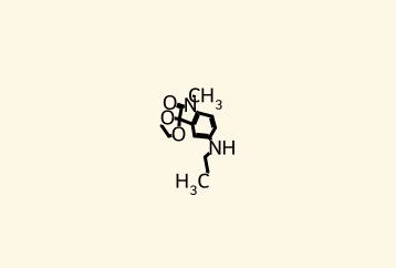 CCCNc1ccc2c(c1)C1(OCCO1)C(=O)N2C